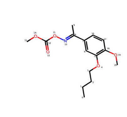 CCCCOc1cc(C(C)=NOC(=O)OC)ccc1OC